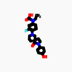 CCN(C(=O)O)c1ccc(N2CCC[C@]3(CCN(C4CCC(O)CC4)C3=O)C2)c(F)c1